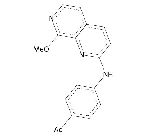 COc1nccc2ccc(Nc3ccc(C(C)=O)cc3)nc12